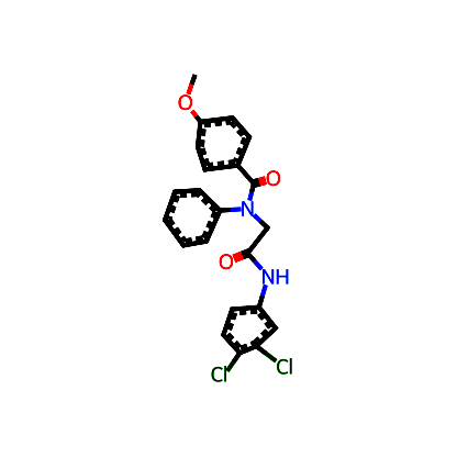 COc1ccc(C(=O)N(CC(=O)Nc2ccc(Cl)c(Cl)c2)c2ccccc2)cc1